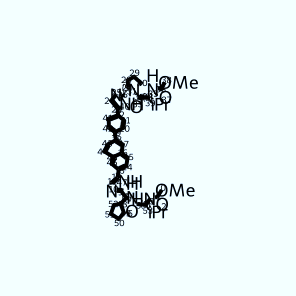 COC(=O)N[C@H](C(=O)N[C@H](c1ncc(-c2ccc3cc(-c4ccc(-c5cnc([C@@H]6CCCN6C(=O)[C@@H](NC(=O)OC)C(C)C)[nH]5)cc4)ccc3c2)[nH]1)C1CCCC1)C(C)C